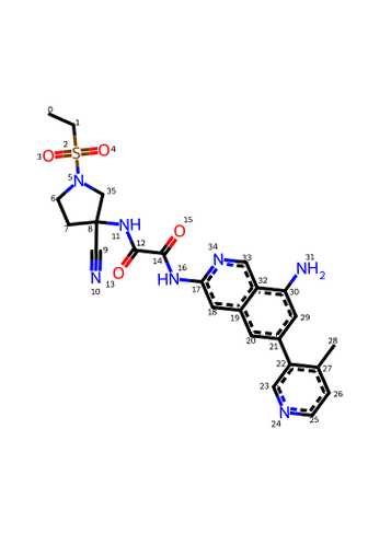 CCS(=O)(=O)N1CCC(C#N)(NC(=O)C(=O)Nc2cc3cc(-c4cnccc4C)cc(N)c3cn2)C1